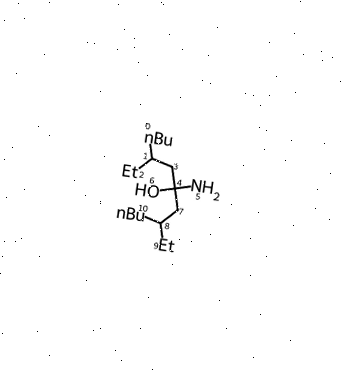 CCCCC(CC)CC(N)(O)CC(CC)CCCC